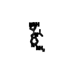 CC(C)n1c(-c2cn[nH]c2)cc2cnc(N)cc21